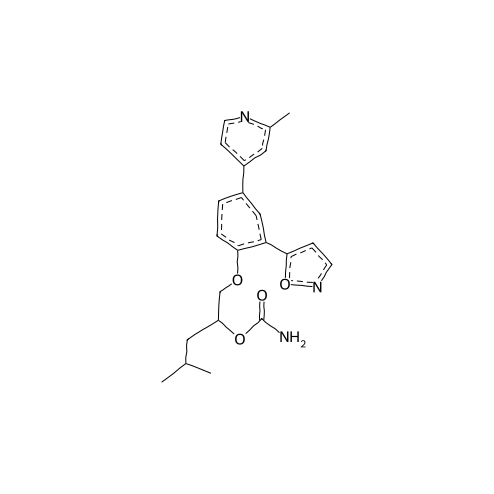 Cc1cc(-c2ccc(OCC(CC(C)C)OC(N)=O)c(-c3ccno3)c2)ccn1